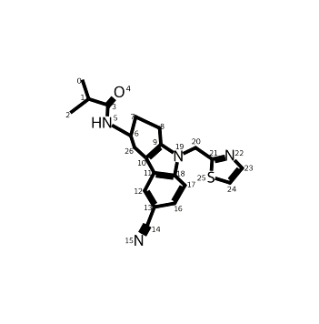 CC(C)C(=O)NC1CCc2c(c3cc(C#N)ccc3n2Cc2nccs2)C1